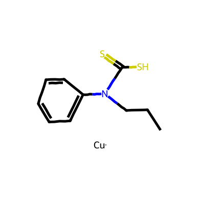 CCCN(C(=S)S)c1ccccc1.[Cu]